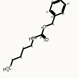 CCCC[CH]NC(=O)OCc1ccccc1